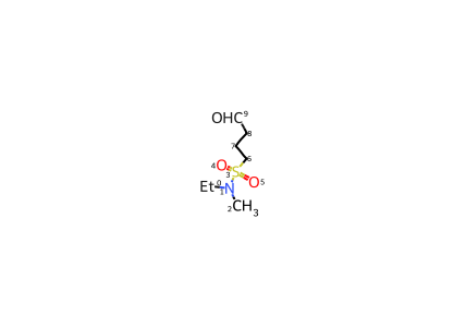 CCN(C)S(=O)(=O)CCCC=O